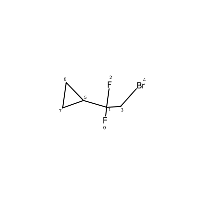 FC(F)(CBr)C1CC1